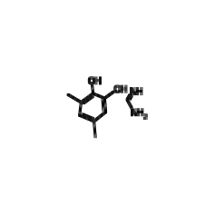 Cc1cc(C)c(O)c(O)c1.N=CN